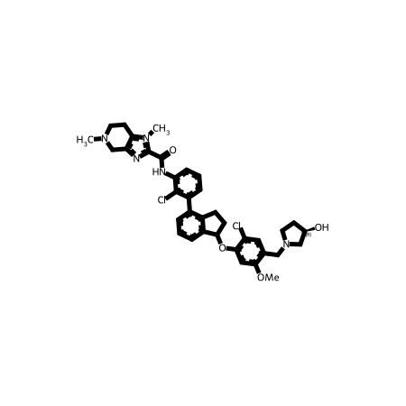 COc1cc(OC2CCc3c(-c4cccc(NC(=O)c5nc6c(n5C)CCN(C)C6)c4Cl)cccc32)c(Cl)cc1CN1CC[C@@H](O)C1